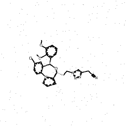 COc1cccc([C@H]2O[C@H](CCn3cc(CC#N)nn3)c3cccn3-c3ccc(Cl)cc32)c1OC